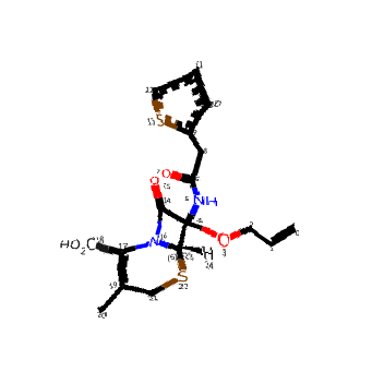 C=CCOC1(NC(=O)Cc2cccs2)C(=O)N2C(C(=O)O)=C(C)CS[C@H]21